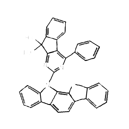 CC1(C)c2ccccc2-c2c(-c3ccccc3)nc(-n3c4ccccc4c4ccc5c6ccccc6oc5c43)nc21